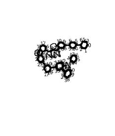 c1ccc(-c2ccc(-c3ccc4oc5c(-c6cccc7oc8ccc(-c9cccc(-c%10ccc%11c(c%10)c%10ccccc%10n%11-c%10ccccc%10)c9)cc8c67)ncnc5c4c3)cc2)cc1